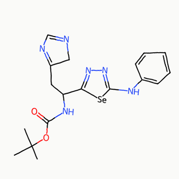 CC(C)(C)OC(=O)NC(CC1=NC=NC1)c1nnc(Nc2ccccc2)[se]1